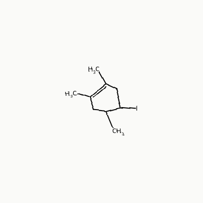 CC1=C(C)CC(I)C(C)C1